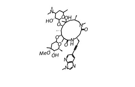 CO[C@]1(C)CC(O[C@@H]2C(C)C(=O)N[C@H](CC#Cc3cnc4c(c3)ncn4C)CC(=O)N(C)C[C@H](C)CC(C)(O)[C@H](OC3OC(C)C[C@H](N(C)C)[C@H]3O)[C@H]2C)O[C@@H](C)[C@@H]1O